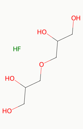 F.OCC(O)COCC(O)CO